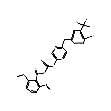 COc1cccc(OC)c1C(=O)NC(=O)Nc1ccc(Oc2ccc(Cl)c(C(F)(F)F)c2)nc1